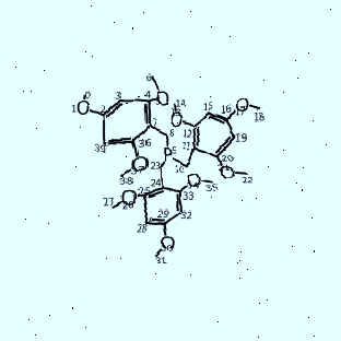 COc1cc(OC)c(CP(Cc2c(OC)cc(OC)cc2OC)Cc2c(OC)cc(OC)cc2OC)c(OC)c1